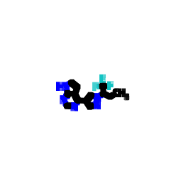 CCC(n1cc(-c2ncnc3[nH]ccc23)cn1)C(F)(F)F